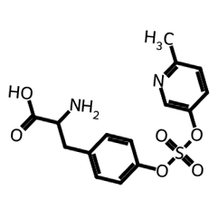 Cc1ccc(OS(=O)(=O)Oc2ccc(CC(N)C(=O)O)cc2)cn1